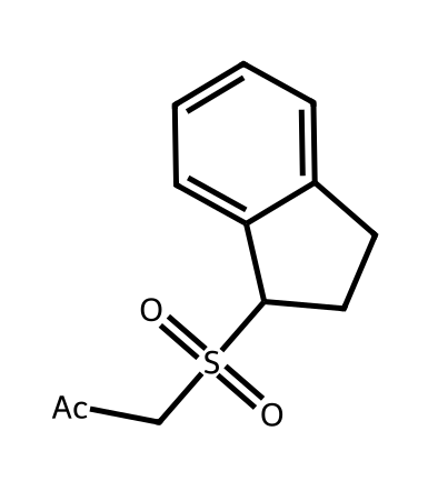 CC(=O)CS(=O)(=O)C1CCc2ccccc21